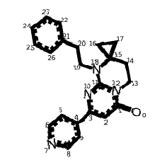 O=c1cc(-c2ccncc2)nc2n1CCC1(CC1)N2CCc1ccccc1